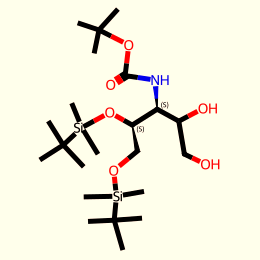 CC(C)(C)OC(=O)N[C@@H](C(O)CO)[C@@H](CO[Si](C)(C)C(C)(C)C)O[Si](C)(C)C(C)(C)C